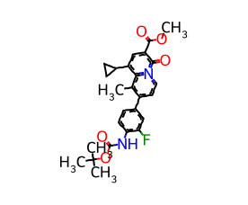 COC(=O)c1cc(C2CC2)c2c(C)c(-c3ccc(NC(=O)OC(C)(C)C)c(F)c3)ccn2c1=O